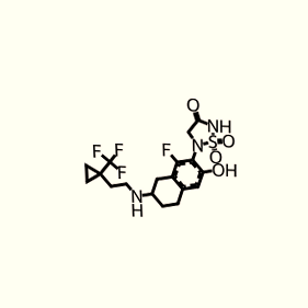 O=C1CN(c2c(O)cc3c(c2F)CC(NCCC2(C(F)(F)F)CC2)CC3)S(=O)(=O)N1